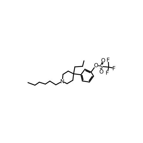 CCCCCCN1CCC(CCC)(c2cccc(OS(=O)(=O)C(F)(F)F)c2)CC1